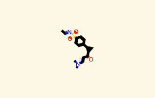 C/C=N/S(=O)(=O)c1ccc(C2CC2C(=O)/C=C/N(C)C)cc1